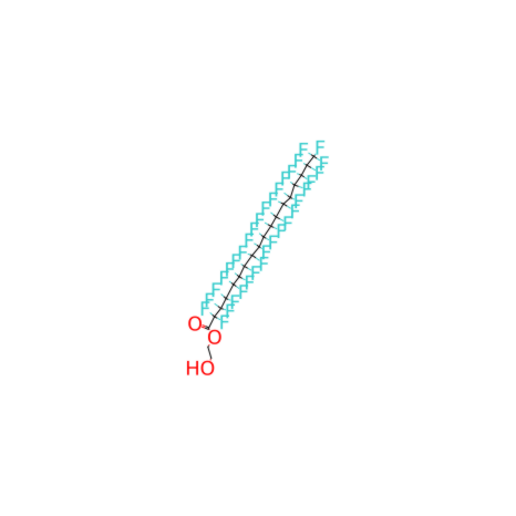 O=C(OCCO)C(F)(F)C(F)(F)C(F)(F)C(F)(F)C(F)(F)C(F)(F)C(F)(F)C(F)(F)C(F)(F)C(F)(F)C(F)(F)C(F)(F)C(F)(F)C(F)(F)C(F)(F)C(F)(F)C(F)(F)F